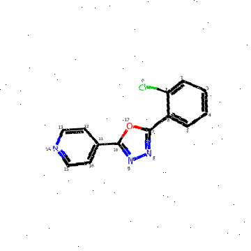 Clc1ccccc1-c1nnc(-c2ccncc2)o1